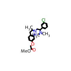 COC(=O)COc1ccc(CC(C)NCC(c2cccc(Cl)c2)N(C)C)cc1